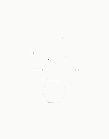 CC(C(=O)c1ccccc1)(S(=O)(=O)[O-])S(=O)(=O)O.[Na+]